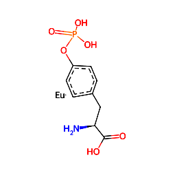 N[C@@H](Cc1ccc(OP(=O)(O)O)cc1)C(=O)O.[Eu]